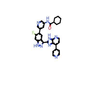 O=C(Nc1cncc(-c2cc3c(-c4nc5c(-c6ccncc6)ccnc5[nH]4)n[nH]c3cc2F)c1)C1CCCCC1